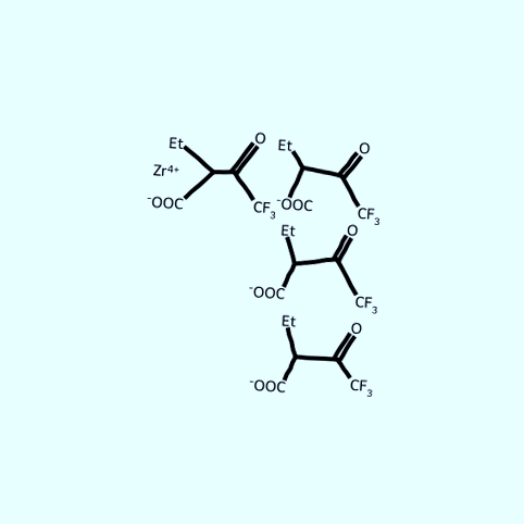 CCC(C(=O)[O-])C(=O)C(F)(F)F.CCC(C(=O)[O-])C(=O)C(F)(F)F.CCC(C(=O)[O-])C(=O)C(F)(F)F.CCC(C(=O)[O-])C(=O)C(F)(F)F.[Zr+4]